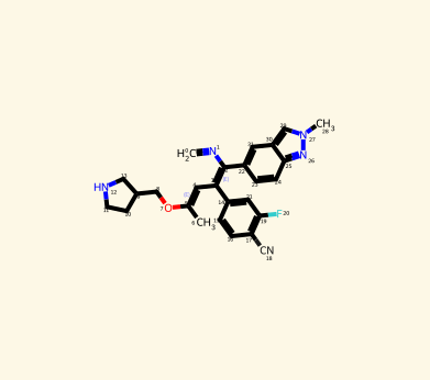 C=N/C(=C(\C=C(/C)OCC1CCNC1)c1ccc(C#N)c(F)c1)c1ccc2nn(C)cc2c1